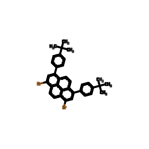 CC(C)(C)c1ccc(-c2cc(Br)c3ccc4c(Br)cc(-c5ccc(C(C)(C)C)cc5)c5ccc2c3c45)cc1